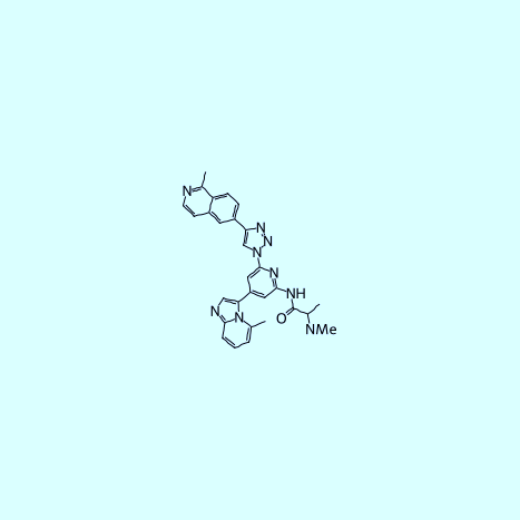 CNC(C)C(=O)Nc1cc(-c2cnc3cccc(C)n23)cc(-n2cc(-c3ccc4c(C)nccc4c3)nn2)n1